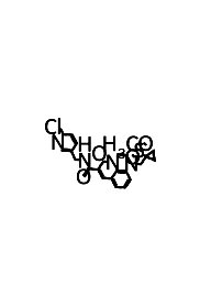 CS(=O)(=O)C1(CN2CCn3c(=O)c(C(=O)NCc4ccc(Cl)nc4)cc4cccc2c43)CC1